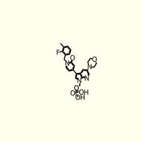 Cc1cccc(Cn2ccc(-c3cn(COP(=O)(O)O)c4ncc(N5CCOCC5)cc34)cc2=O)c1F